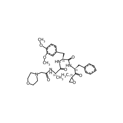 COc1ccc(C[C@H](NC(=O)[C@H](C)NC(=O)CN2CCOCC2)C(=O)N[C@@H](Cc2ccccc2)C(=O)[C@]2(C)CO2)cc1OC